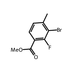 COC(=O)c1ccc(C)c(Br)c1F